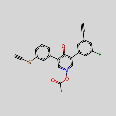 C#CSc1cccc(-c2cn(OC(C)=O)cc(-c3cc(F)cc(C#C)c3)c2=O)c1